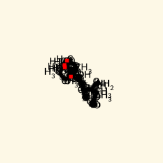 CO[C@H]1/C=C/O[C@@]2(C)Oc3c(C)c4c5c(=O)c(c6sc7cc(N8CCC(NC(=O)[C@H](Cc9ccccc9)NC(=O)[C@H](CCCNC(N)=O)NC(=O)[C@@H](NC(=O)CCN9C(=O)C=CC9=O)C(C)C)CC8)cc(O)c7nc-6c5c3C2=O)NC(=O)/C(C)=C\C=C\[C@H](C)[C@H](O)[C@@H](C)[C@@H](O)C(C)(O4)[C@H](OC(C)=O)[C@@H]1C